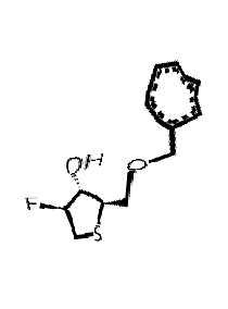 O[C@H]1[C@H](F)CS[C@@H]1COCc1ccccc1